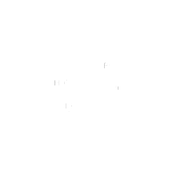 C=CCBr.C=CCBr